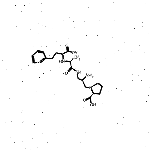 C[C@H](NC(CCc1ccccc1)C(=O)O)C(=O)NCC(N)CN1CCC[C@H]1C(=O)O